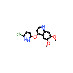 COc1cc2nccc(Oc3ccc(Cl)nn3)c2cc1OC